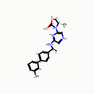 CC(C)c1cccc(-c2ccc([C@H](C)Nc3cncc(N4C(=O)OC[C@@H]4C(C)C)n3)cc2)c1